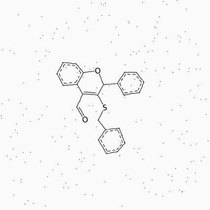 O=CC1=C(SCc2ccccc2)C(c2ccccc2)Oc2ccccc21